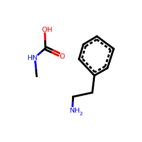 CNC(=O)O.NCCc1ccccc1